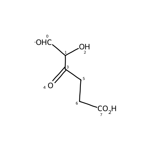 O=[C]C(O)C(=O)CCC(=O)O